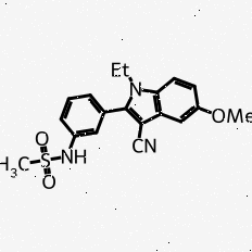 CCn1c(-c2cccc(NS(C)(=O)=O)c2)c(C#N)c2cc(OC)ccc21